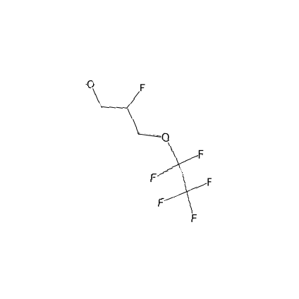 [O]CC(F)COC(F)(F)C(F)(F)F